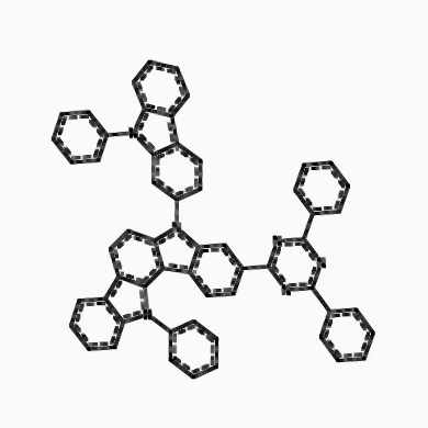 c1ccc(-c2nc(-c3ccccc3)nc(-c3ccc4c5c(ccc6c7ccccc7n(-c7ccccc7)c65)n(-c5ccc6c7ccccc7n(-c7ccccc7)c6c5)c4c3)n2)cc1